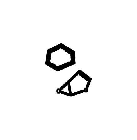 C1=CC2OC2O1.c1ccccc1